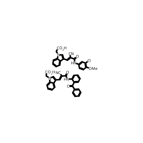 COc1ccc(NC(=O)/C(C#N)=C/c2cn(CC(=O)O)c3ccccc23)cc1Cl.N#C/C(=C\c1cn(CC(=O)O)c2ccccc12)C(=O)Nc1ccccc1C(=O)c1ccccc1